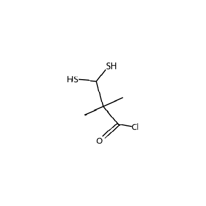 CC(C)(C(=O)Cl)C(S)S